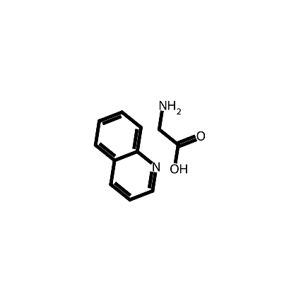 NCC(=O)O.c1ccc2ncccc2c1